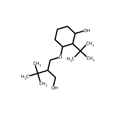 CC(C)(C)C(CO)COC1CCCC(O)C1C(C)(C)C